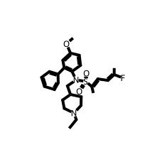 CCN1CCC(CN(c2ccc(OC)cc2-c2ccccc2)S(=O)(=O)/C(C)=C/C=C(\C)F)CC1